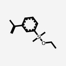 C=C(C)c1cccc([Si](C)(C)OCC)c1